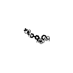 Cn1c(=O)n(C2CCCC(=O)NC2=O)c2ccc(C3CCN(CC(=O)OC(C)(C)C)CC3)cc21